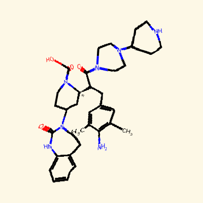 Cc1cc(CC(C(=O)N2CCN(C3CCNCC3)CC2)[C@H]2CC(N3CCc4ccccc4NC3=O)CCN2C(=O)O)cc(C)c1N